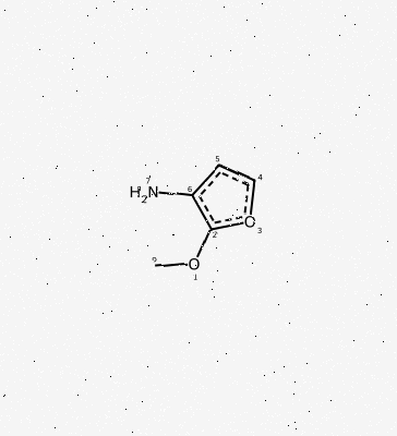 COc1occc1N